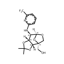 CC1(C)O[C@@H]2[C@@H](Nc3cccc(C(F)(F)F)n3)[C@H]3OC[C@](CO)(O3)[C@@H]2O1